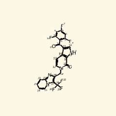 O=C(c1c(F)cc(F)cc1F)c1c[nH]c2c(=O)n(Cc3nc4ccccn4c3C(F)(F)F)ccc12